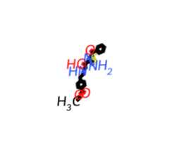 CCOC(=O)c1ccc(CCNCC(O)c2nc(C(=O)c3ccccc3)sc2N)cc1